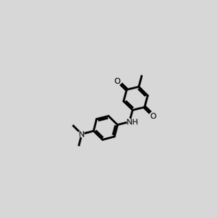 CC1=CC(=O)C(Nc2ccc(N(C)C)cc2)=CC1=O